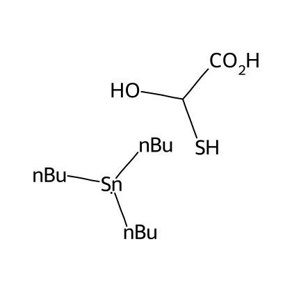 CCC[CH2][Sn]([CH2]CCC)[CH2]CCC.O=C(O)C(O)S